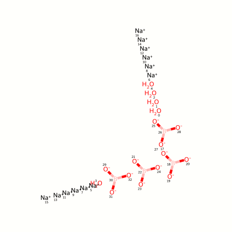 O.O.O.O.O.[Na+].[Na+].[Na+].[Na+].[Na+].[Na+].[Na+].[Na+].[Na+].[Na+].[Na+].[Na+].[O-]B([O-])[O-].[O-]B([O-])[O-].[O-]B([O-])[O-].[O-]B([O-])[O-]